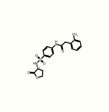 Cc1ccccc1CC(=O)Nc1ccc(S(=O)(=O)N[C@H]2CCOC2=O)cc1